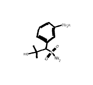 CC(C)(O)C(c1cccc(C(=O)O)c1)S(N)(=O)=O